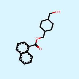 O=C(OCC1CCC(CO)CC1)c1cccc2ccccc12